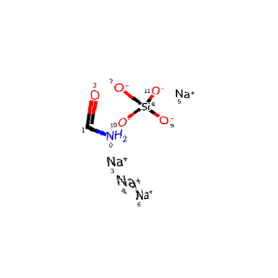 NC=O.[Na+].[Na+].[Na+].[Na+].[O-][Si]([O-])([O-])[O-]